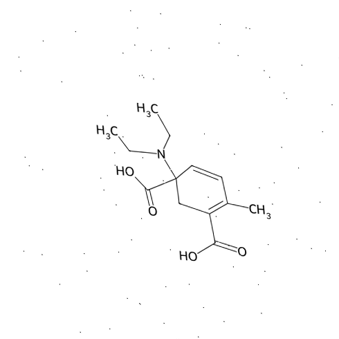 CCN(CC)C1(C(=O)O)C=CC(C)=C(C(=O)O)C1